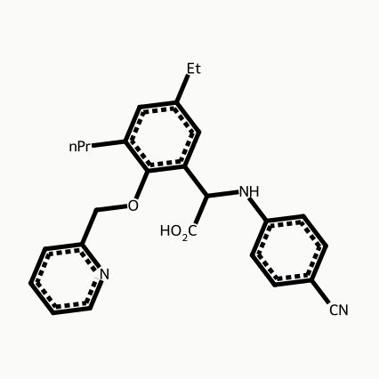 CCCc1cc(CC)cc(C(Nc2ccc(C#N)cc2)C(=O)O)c1OCc1ccccn1